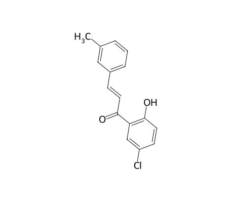 Cc1cccc(/C=C/C(=O)c2cc(Cl)ccc2O)c1